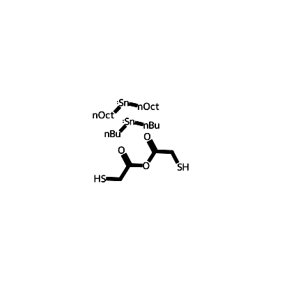 CCCCCCC[CH2][Sn][CH2]CCCCCCC.CCC[CH2][Sn][CH2]CCC.O=C(CS)OC(=O)CS